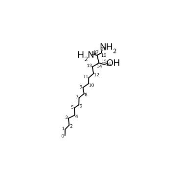 CCCCCCCCCCCCCCC(CO)C(N)CN